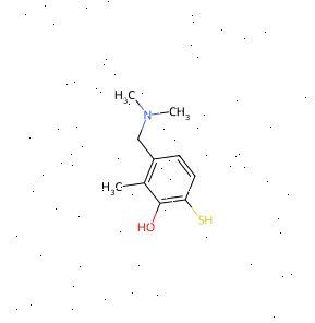 Cc1c(CN(C)C)ccc(S)c1O